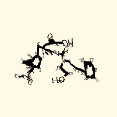 O=C(O)C(Cc1ccc([N+](=O)[O-])cc1)NC(=O)N(CCO)CCc1ccccc1